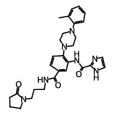 Cc1ccccc1N1CCN(c2ccc(C(=O)NCCCN3CCCC3=O)cc2NC(=O)c2ncc[nH]2)CC1